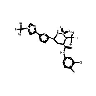 [2H]C([2H])([2H])N1[C@@H](C(=O)Nc2ccc(F)c(Cl)c2)C[C@@H](c2ccc(-c3cn(C([2H])([2H])[2H])cn3)s2)NS1(=O)=O